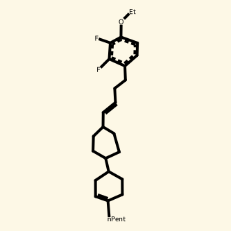 CCCCCC1=CCC(C2CCC(/C=C/CCc3ccc(OCC)c(F)c3F)CC2)CC1